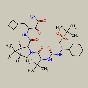 CC(C)(C)[C@H](NC(=O)N[C@H](CS(=O)(=O)C(C)(C)C)C1CCCCC1)C(=O)N1C[C@H]2[C@@H]([C@H]1C(=O)NC(CC1CCC1)C(=O)C(N)=O)C2(C)C